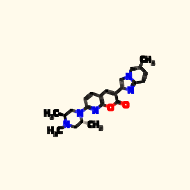 Cc1ccc2nc(-c3cc4ccc(N5C[C@H](C)N(C)C[C@H]5C)nc4oc3=O)cn2c1